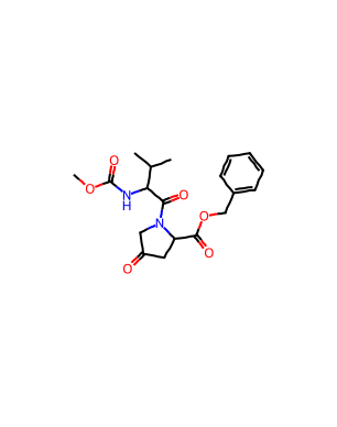 COC(=O)NC(C(=O)N1CC(=O)CC1C(=O)OCc1ccccc1)C(C)C